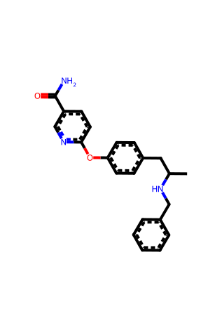 CC(Cc1ccc(Oc2ccc(C(N)=O)cn2)cc1)NCc1ccccc1